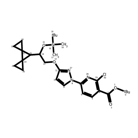 CC(C)(C)OC(=O)c1ccc(-n2ccc(OCC(O[Si](C)(C)C(C)(C)C)C3C4(CC4)C34CC4)n2)nc1Cl